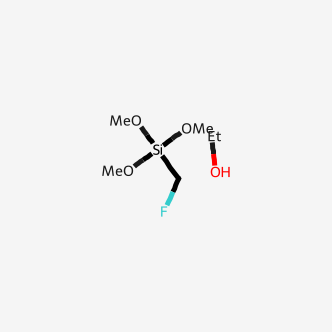 CCO.CO[Si](CF)(OC)OC